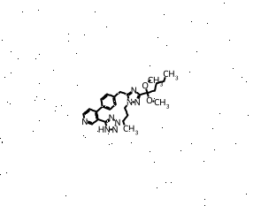 CCCCn1nc(C(CCCC)(OC)OC)nc1Cc1ccc(-c2ccncc2-c2nnn[nH]2)cc1